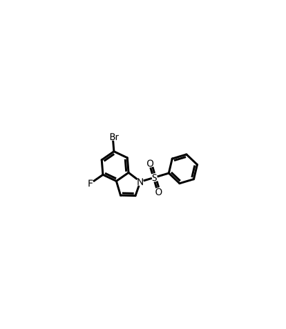 O=S(=O)(c1ccccc1)n1ccc2c(F)cc(Br)cc21